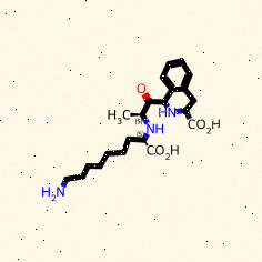 C[C@H](N[C@@H](CCCCCCCN)C(=O)O)C(=O)C1NC(C(=O)O)Cc2ccccc21